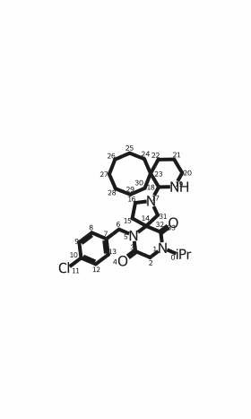 CC(C)N1CC(=O)N(Cc2ccc(Cl)cc2)C2(CCN(C3NCCCC34CCCCCCC4)C2)C1=O